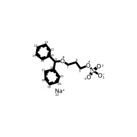 O=S(=O)([O-])OCCCOC(c1ccccc1)c1ccccc1.[Na+]